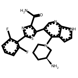 NC(=O)c1nc(-c2c(F)cccc2F)sc1-c1cnc2[nH]ccc2c1N1CCC[C@H](N)C1